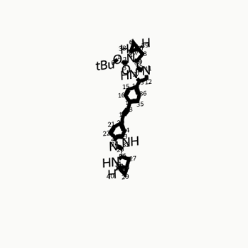 CC(C)(C)OC(=O)N1[C@@H]2C[C@@H]2C[C@H]1C1=NCC(c2ccc(C#Cc3ccc4nc([C@@H]5CC6C[C@H]6N5)[nH]c4c3)cc2)N1